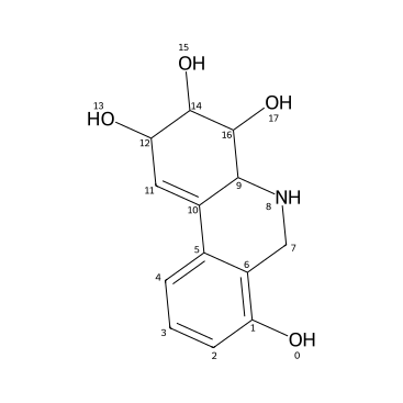 Oc1cccc2c1CNC1C2=CC(O)C(O)C1O